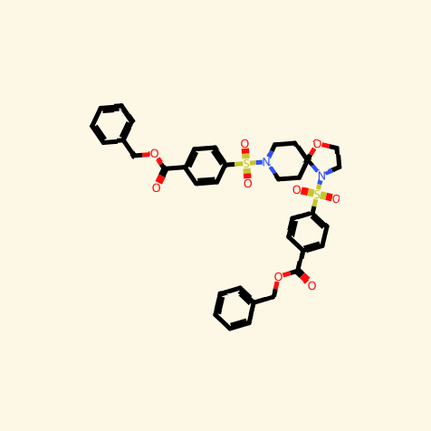 O=C(OCc1ccccc1)c1ccc(S(=O)(=O)N2CCC3(CC2)OCCN3S(=O)(=O)c2ccc(C(=O)OCc3ccccc3)cc2)cc1